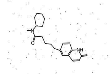 C=C1C=Cc2cc(CCCCC(=O)N(C)C3CCCCC3)ccc2N1